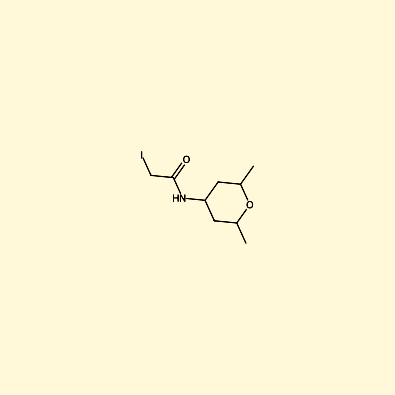 CC1CC(NC(=O)CI)CC(C)O1